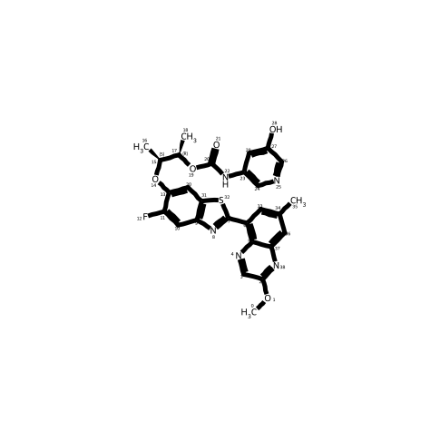 COc1cnc2c(-c3nc4cc(F)c(O[C@@H](C)[C@@H](C)OC(=O)Nc5cncc(O)c5)cc4s3)cc(C)cc2n1